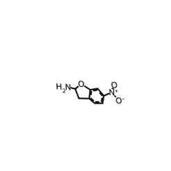 NC1Cc2ccc([N+](=O)[O-])cc2O1